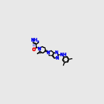 C/C(=C\N)C(=O)N1CC[C@@H](N2Cc3cnc(Nc4cc(C)cc(C)c4)nc3C2)C[C@H]1C